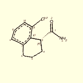 NC(=O)[C@@H]1CCCc2cccc(Cl)c21